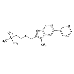 Cc1c2cc(-c3cccnc3)ncc2nn1COCC[Si](C)(C)C